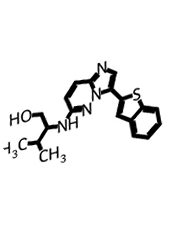 CC(C)C(CO)Nc1ccc2ncc(-c3cc4ccccc4s3)n2n1